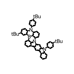 CC(C)(C)c1ccc(N2c3ccc(C(C)(C)C)cc3B3c4c2cccc4-n2c4cc5c(cc4c4cccc3c42)c2ccccc2n5-c2ccc(C(C)(C)C)cc2)cc1